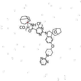 O=C(NC1(C(=O)O)C2CCC3CC(C2)CC1C3)c1cnc(N2CC3(CC4CCC(C3)O4)c3cc(OC4CCN(c5ncccn5)CC4)ccc32)nc1C(F)(F)F